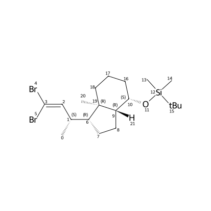 C[C@H](C=C(Br)Br)[C@H]1CC[C@H]2[C@@H](O[Si](C)(C)C(C)(C)C)CCC[C@]12C